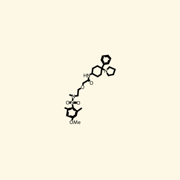 COc1cc(C)c(S(=O)(=O)N(C)CCOCC(=O)NC2CCC(c3ccccc3)(N3CCCC3)CC2)c(C)c1